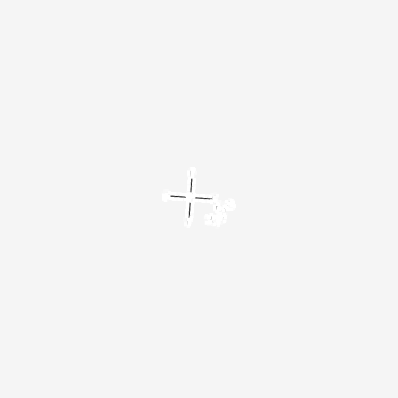 O.O.[F][V]([F])([F])[F]